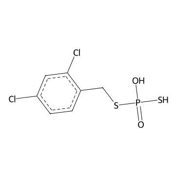 O=P(O)(S)SCc1ccc(Cl)cc1Cl